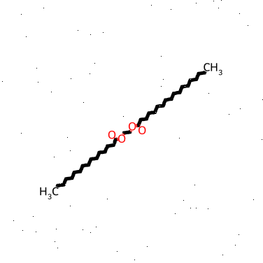 CCCCCCCCCCCCCCCCCC(=O)OCCOC(=O)CCCCCCCCCCCCCCC